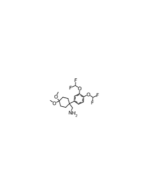 COC1(OC)CCC(CN)(c2ccc(OC(F)F)c(OC(F)F)c2)CC1